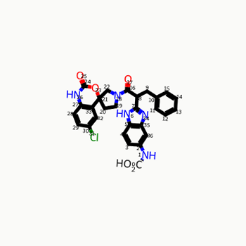 O=C(O)Nc1ccc2[nH]c(C(Cc3ccccc3)C(=O)N3CCC4(C3)OC(=O)Nc3ccc(Cl)cc34)nc2c1